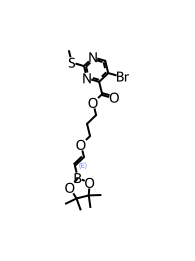 CSc1ncc(Br)c(C(=O)OCCCO/C=C/B2OC(C)(C)C(C)(C)O2)n1